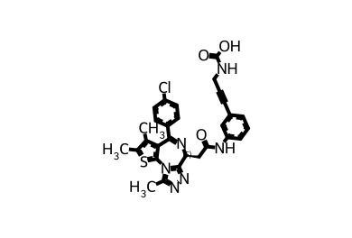 Cc1sc2c(c1C)C(c1ccc(Cl)cc1)=N[C@@H](CC(=O)Nc1cccc(C#CCNC(=O)O)c1)c1nnc(C)n1-2